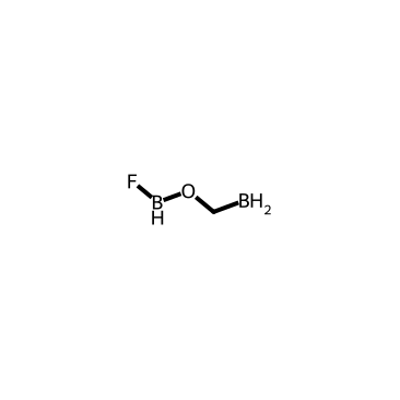 BCOBF